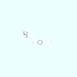 CC(CNc1nsc2cscc12)Oc1cccc(CN2CCCCC2)c1